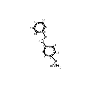 NCc1c[c]c(OCc2ccccc2)cc1